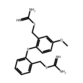 COc1ccc(Sc2ccccc2CSC(=N)N)c(CSC(=N)N)c1